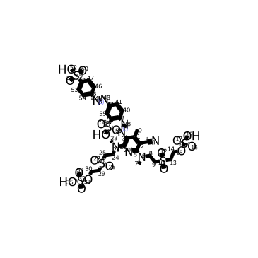 Cc1c(C#N)c(N(C)CCS(=O)(=O)CCOS(=O)(=O)O)nc(N(C)CCS(=O)(=O)CCOS(=O)(=O)O)c1/N=N/c1ccc(/N=N/c2ccc(S(=O)(=O)O)cc2)cc1S(=O)(=O)O